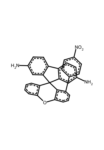 Nc1ccc2c(c1)C1(c3ccccc3Oc3cccc(-c4ccc([N+](=O)[O-])cc4)c31)c1cc(N)ccc1-2